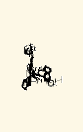 CC[C@H]1CN(CCCOc2nc(N3CC4CCC(C3)N4)c3cnc(-c4cc(O)cc5ccccc45)c(F)c3n2)CCO1